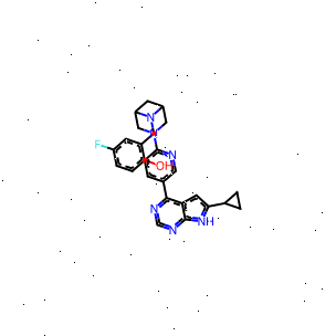 Oc1ccc(F)cc1CN1C2CC1CN(c1ccc(-c3ncnc4[nH]c(C5CC5)cc34)cn1)C2